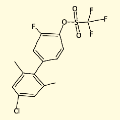 Cc1cc(Cl)cc(C)c1-c1ccc(OS(=O)(=O)C(F)(F)F)c(F)c1